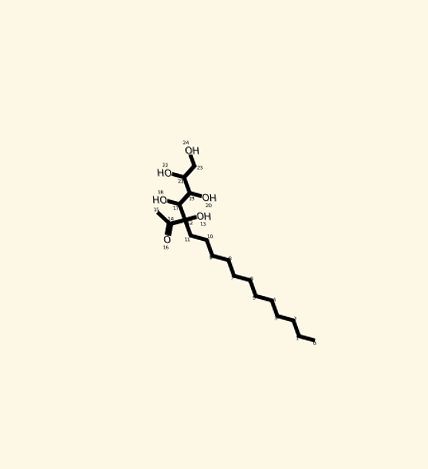 CCCCCCCCCCCCC(O)(C(C)=O)C(O)C(O)C(O)CO